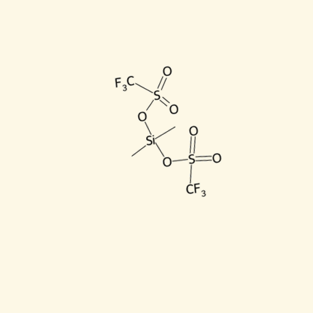 C[Si](C)(OS(=O)(=O)C(F)(F)F)OS(=O)(=O)C(F)(F)F